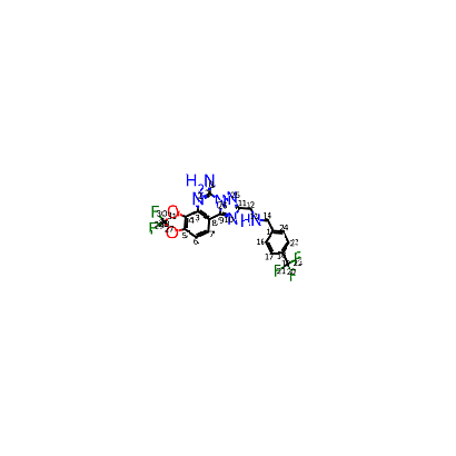 Nc1nc2c3c(ccc2c2nc(CNCc4ccc(C(F)(F)F)cc4)nn12)OC(F)(F)O3